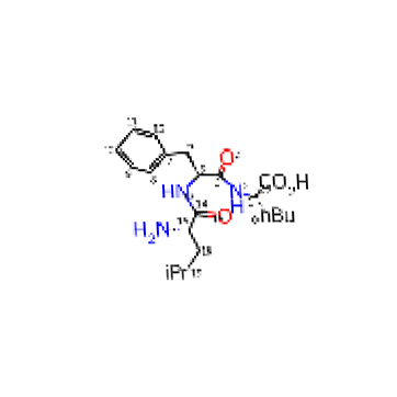 CCCC[C@H](NC(=O)[C@H](Cc1ccccc1)NC(=O)[C@@H](N)CC(C)C)C(=O)O